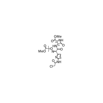 COC(=O)[C@H]1NC(=O)[C@H]1NC(=O)C(=NOC(C)(C)C(=O)OC)c1csc(NC(=O)CCl)n1